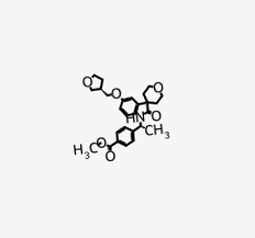 COC(=O)c1ccc([C@H](C)NC(=O)C2(c3cccc(OC[C@@H]4CCOC4)c3)CCOCC2)cc1